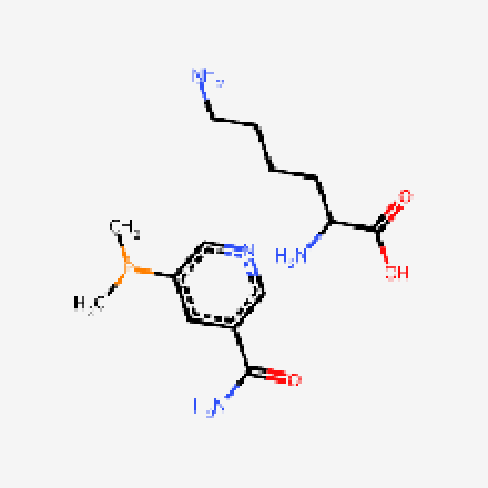 CP(C)c1cncc(C(N)=O)c1.NCCCCC(N)C(=O)O